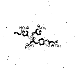 CCCNCC(CS(=O)(=O)O)O[SiH](OC(CC)CS(=O)(=O)O)OC(CN1CCN(CC(O)CS(=O)(=O)O)CC1)CS(=O)(=O)O